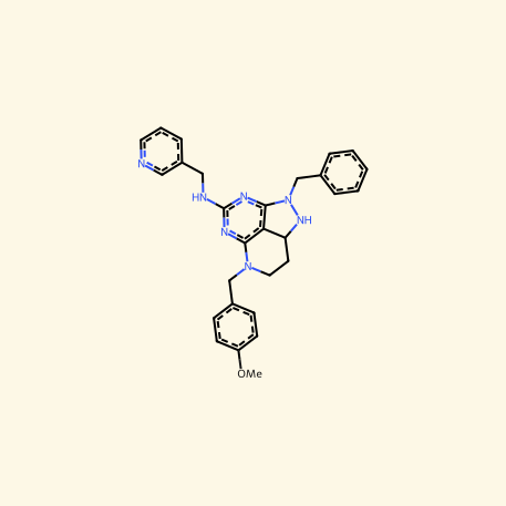 COc1ccc(CN2CCC3NN(Cc4ccccc4)c4nc(NCc5cccnc5)nc2c43)cc1